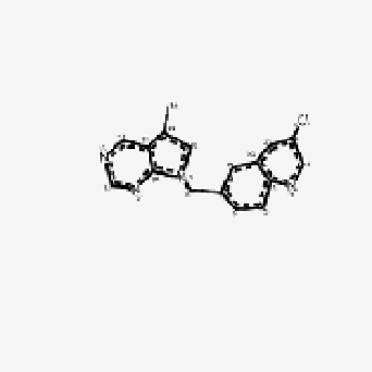 Clc1cnc2ccc(Cn3cc(I)c4cncnc43)cc2c1